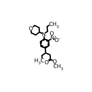 CCCN(c1ccc(C(CC)CC(=O)OC)cc1[N+](=O)[O-])C1CCOCC1